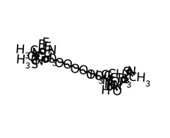 Cc1ncsc1-c1ccc(CNC(=O)[C@@H]2CCCN2C(=O)C(NC(=O)COCCOCCOCCOCCOCCOCCOc2ccc(N(C=S)C(C)(C)C(=O)N(C)c3ccc(C#N)c(C(F)(F)F)c3)cc2)C(C)(C)C)cc1